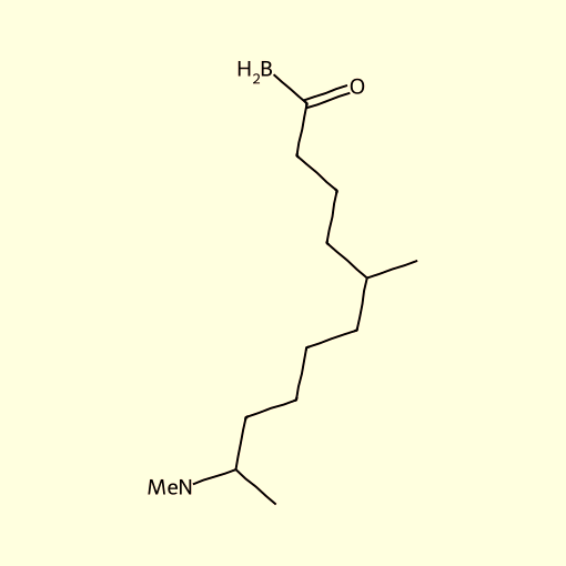 BC(=O)CCCC(C)CCCCC(C)NC